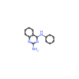 Nc1nc(Nc2ccccc2)c2ccccc2n1